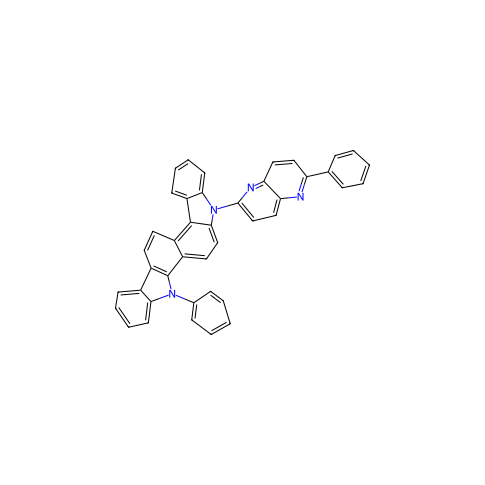 c1ccc(-c2ccc3nc(-n4c5ccccc5c5c6ccc7c8ccccc8n(-c8ccccc8)c7c6ccc54)ccc3n2)cc1